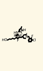 Cc1cc(Nc2nc(CCCCCO)c(F)c(C[C@@]3(C(=O)O)CCN(Cc4cccc(Cl)c4F)[C@H](C)C3)n2)n[nH]1